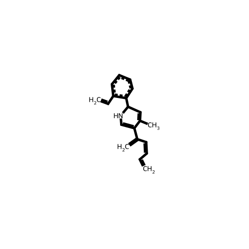 C=C/C=C\C(=C)C1=CNC(c2ccccc2C=C)C=C1C